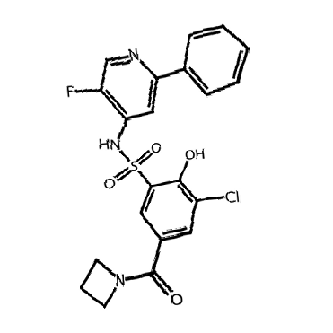 O=C(c1cc(Cl)c(O)c(S(=O)(=O)Nc2cc(-c3ccccc3)ncc2F)c1)N1CCC1